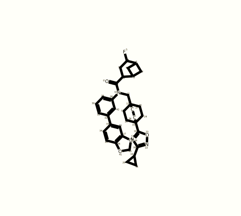 O=C(C1CC(F)C2CC1C2)N(CC12CCC(c3nc(C4CC4)no3)(CC1)CC2)c1cccc(-c2ccc3c(c2)OCO3)c1